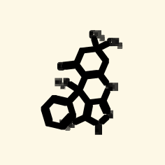 BC1(c2ccccc2)C2=C(CC(C)(C)CC2=O)Nc2n[nH]c(C)c21